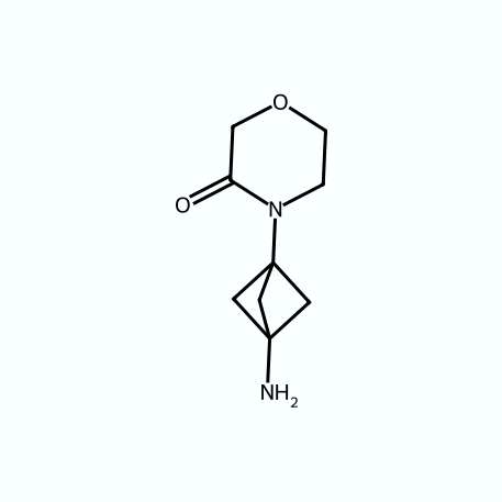 NC12CC(N3CCOCC3=O)(C1)C2